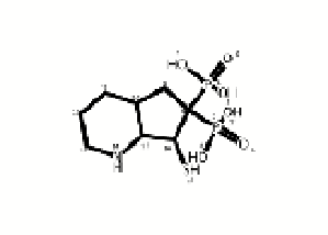 O=P(O)(O)C1(P(=O)(O)O)CC2CCCNC2C1S